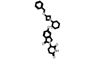 O=C1CCC(N2Cc3cc(O[C@H]4CCCCC4N4CC(OCc5ccccc5)C4)ccc3C2=O)C(=O)N1